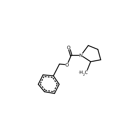 [CH2]C1CCCN1C(=O)OCc1ccccc1